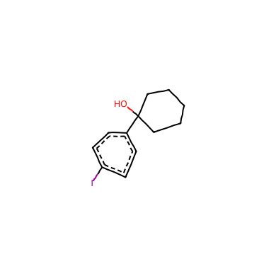 OC1(c2ccc(I)cc2)CCCCC1